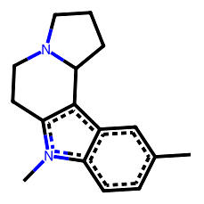 Cc1ccc2c(c1)c1c(n2C)CCN2CCCC12